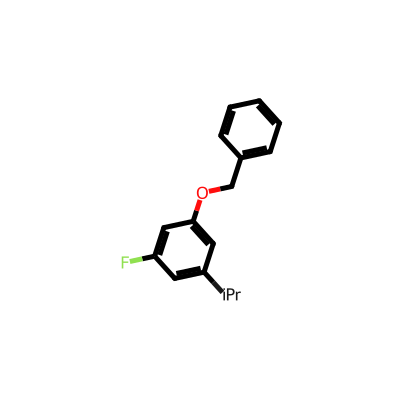 CC(C)c1cc(F)cc(OCc2ccccc2)c1